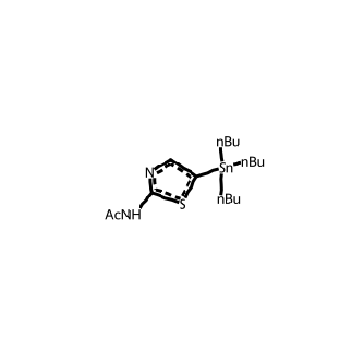 CCC[CH2][Sn]([CH2]CCC)([CH2]CCC)[c]1cnc(NC(C)=O)s1